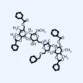 CO[C@H]1OC(CO[C@@H]2OC(COCc3ccccc3)[C@@H](O[C@@H]3O[C@@H](COC(=O)c4ccccc4)[C@H](C)C(C)C3OC(=O)c3ccccc3)[C@H](C)C2C)[C@H](O)[C@H](O[C@@H]2OC(COC(=O)c3ccccc3)[C@H](C)[C@H](C)C2OC(=O)c2ccccc2)C1C